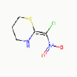 O=[N+]([O-])C(Cl)=C1NCCCS1